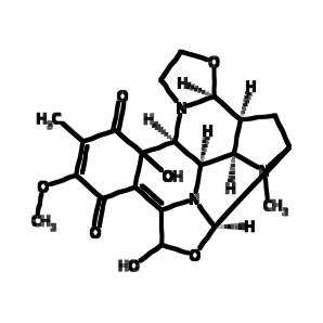 COC1=C(C)C(=O)C2(O)C(=C3C(O)O[C@@H]4C5C[C@H]6[C@H]([C@H]([C@@H]2N2CCO[C@@H]62)N34)N5C)C1=O